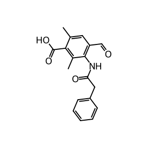 Cc1cc(C=O)c(NC(=O)Cc2ccccc2)c(C)c1C(=O)O